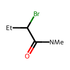 CCC(Br)C(=O)NC